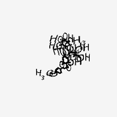 COc1ccc(-c2cc(=O)c3c(O)c([C@@H]4OC(CO)[C@@H](O)[C@H](O)C4O[C@@H]4OC(C)[C@H](O)[C@H](O)C4O)c(O)cc3o2)cc1